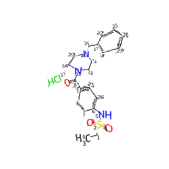 CCS(=O)(=O)Nc1ccc(C(=O)N2CCN(Cc3ccccc3)CC2)cc1.Cl